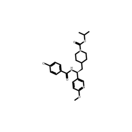 COc1ccc([C@H](CC2CCN(C(=O)OC(C)C)CC2)NC(=O)c2ccc(Cl)cc2)cn1